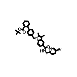 Cc1c(C)n(Cc2ccc(-c3ccccc3C(=O)OC(C)(C)C)cc2)c2ccc(C(=O)N[C@@H](C)c3ccc(Br)cn3)cc12